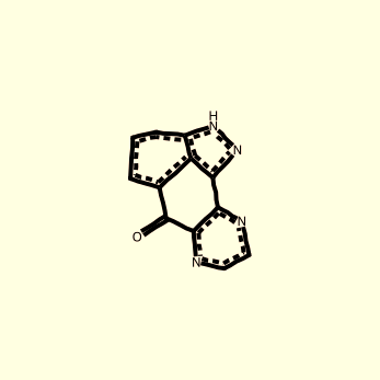 O=C1c2nccnc2-c2n[nH]c3cccc1c23